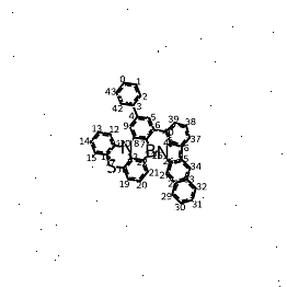 c1ccc(-c2cc3c4c(c2)N2c5ccccc5Sc5cccc(c52)B4n2c4cc5ccccc5cc4c4cccc-3c42)cc1